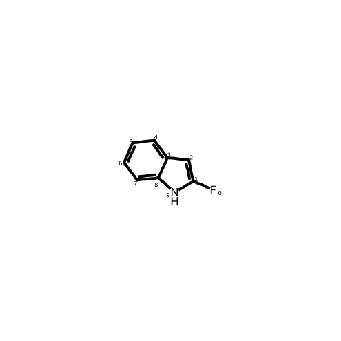 Fc1cc2cc[c]cc2[nH]1